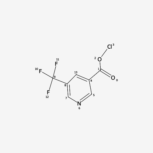 O=C(OCl)c1cncc(C(F)(F)F)c1